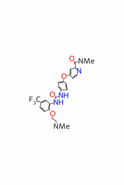 CNCCOc1ccc(C(F)(F)F)cc1NC(=O)Nc1ccc(Oc2ccnc(C(=O)NC)c2)cc1